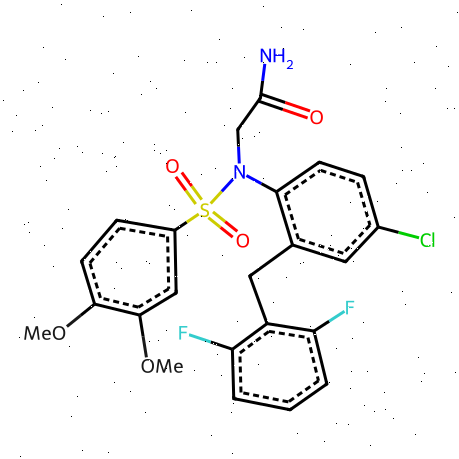 COc1ccc(S(=O)(=O)N(CC(N)=O)c2ccc(Cl)cc2Cc2c(F)cccc2F)cc1OC